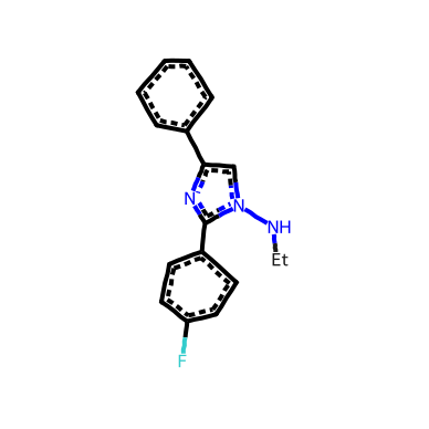 CCNn1cc(-c2ccccc2)nc1-c1ccc(F)cc1